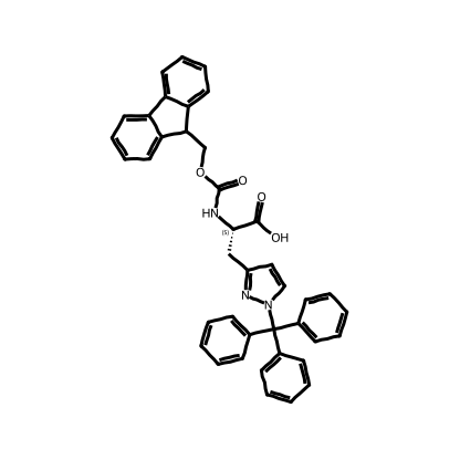 O=C(N[C@@H](Cc1ccn(C(c2ccccc2)(c2ccccc2)c2ccccc2)n1)C(=O)O)OCC1c2ccccc2-c2ccccc21